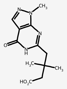 Cn1ncc2c(=O)[nH]c(CC(C)(C)CC(=O)O)nc21